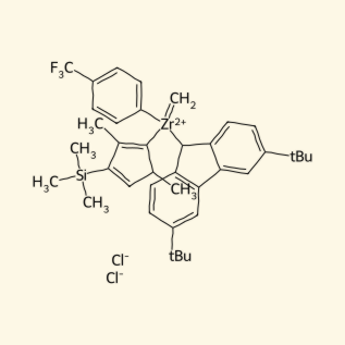 [CH2]=[Zr+2]([C]1=C(C)C([Si](C)(C)C)=CC1C)([c]1ccc(C(F)(F)F)cc1)[CH]1c2ccc(C(C)(C)C)cc2-c2cc(C(C)(C)C)ccc21.[Cl-].[Cl-]